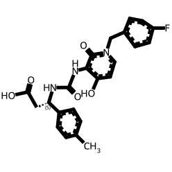 Cc1ccc([C@H](CC(=O)O)NC(=O)Nc2c(O)ccn(Cc3ccc(F)cc3)c2=O)cc1